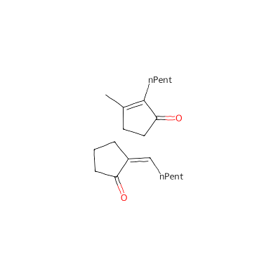 CCCCCC1=C(C)CCC1=O.CCCCCC=C1CCCC1=O